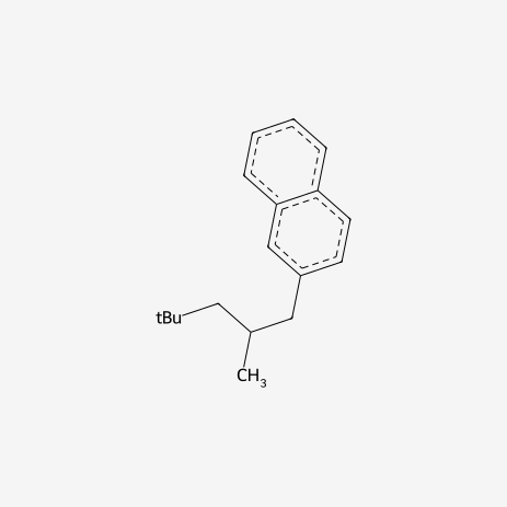 CC(Cc1ccc2ccccc2c1)CC(C)(C)C